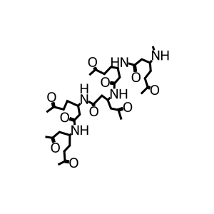 CNC(CCC(C)=O)CC(=O)NC(CCC(C)=O)CC(=O)NC(CC(C)=O)CC(=O)NC(CCC(C)=O)CC(=O)NC(CCC(C)=O)CC(C)=O